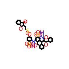 O=C(c1ccccc1)c1c2c3c(c(Nc4cc(OOSCCC5C(=O)c6ccccc6C5=O)ccc4S(=O)(=O)O)cc(S(=O)(=O)O)c3[nH]c1=O)C(=O)c1ccccc1-2